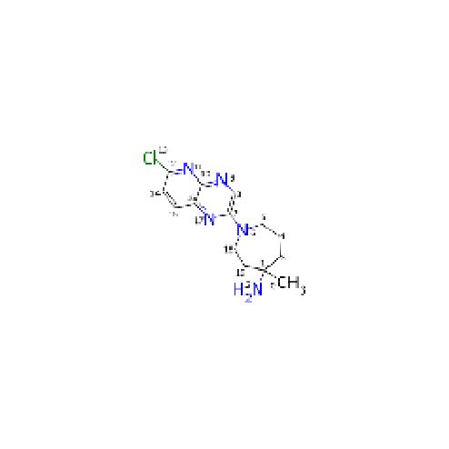 CC1(N)CCCN(c2cnc3nc(Cl)ccc3n2)CC1